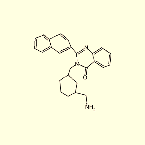 NCC1CCCC(Cn2c(-c3ccc4ccccc4c3)nc3ccccc3c2=O)C1